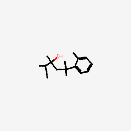 Cc1ccccc1C(C)(C)CC(C)(O)C(C)C